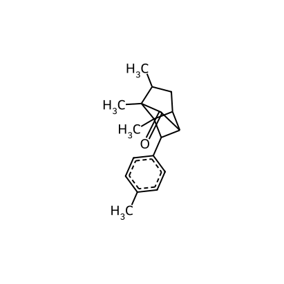 Cc1ccc(C2C3C(=O)C4(C)C(C)CC3C24C)cc1